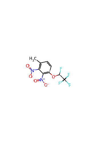 Cc1ccc(OC(F)C(F)(F)F)c([N+](=O)[O-])c1[N+](=O)[O-]